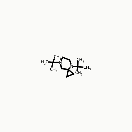 CC(C)(C)N1CCN(C(C)(C)C)C2(CC2)C1